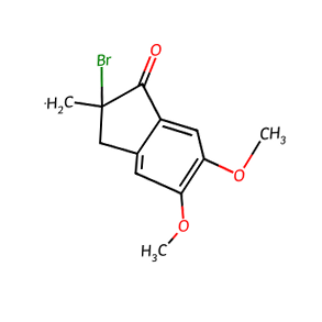 [CH2]C1(Br)Cc2cc(OC)c(OC)cc2C1=O